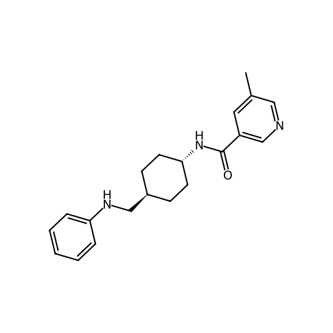 Cc1cncc(C(=O)N[C@H]2CC[C@H](CNc3ccccc3)CC2)c1